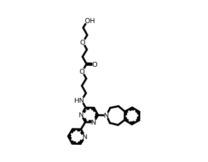 O=C(CCOCCO)OCCCNc1cc(N2CCc3ccccc3CC2)nc(-c2ccccn2)n1